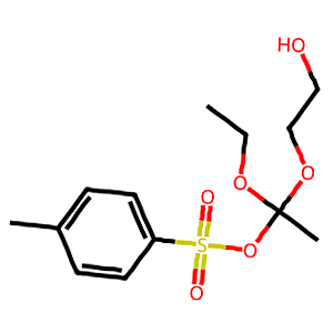 CCOC(C)(OCCO)OS(=O)(=O)c1ccc(C)cc1